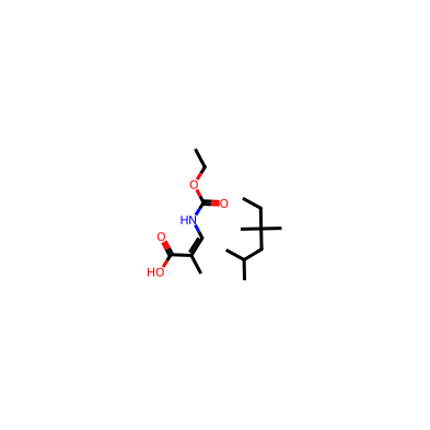 CCC(C)(C)CC(C)C.CCOC(=O)NC=C(C)C(=O)O